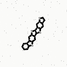 c1ccc2c(c1)sc1cc3c(cc12)sc1c2cc4sccc4cc2sc31